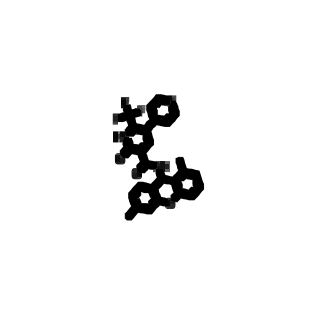 Cc1ccc2c(c1)Oc1cccc(C)c1C2NC(=O)c1cc(-c2ccncc2)c(C(F)(F)F)[nH]c1=O